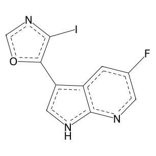 Fc1cnc2[nH]cc(-c3ocnc3I)c2c1